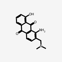 CN(C)Cc1ccc2c(c1N)C(=O)c1c(O)cccc1C2=O